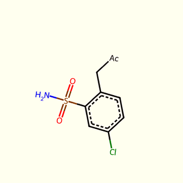 CC(=O)Cc1ccc(Cl)cc1S(N)(=O)=O